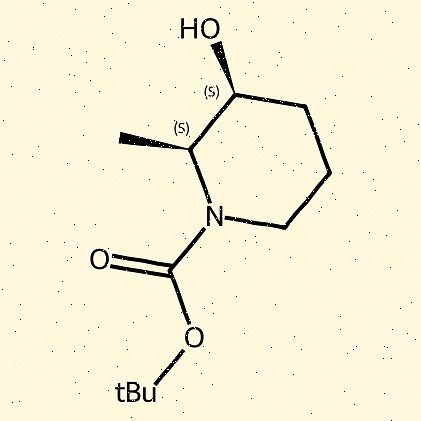 C[C@H]1[C@@H](O)CCCN1C(=O)OC(C)(C)C